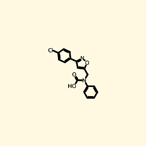 O=C(O)N(Cc1cc(-c2ccc(Cl)cc2)no1)c1ccccc1